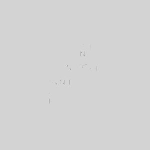 CN(CCNCCNC(=O)C[S][Rf])CC(=O)O